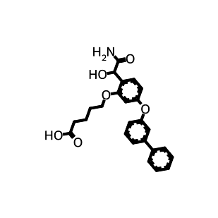 NC(=O)C(O)c1ccc(Oc2cccc(-c3ccccc3)c2)cc1OCCCCC(=O)O